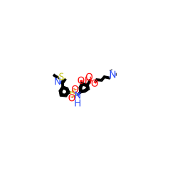 Cc1nc(-c2cccc(S(=O)(=O)Nc3ccc(C(=O)OCCCCN(C)C)c(O)c3)c2)cs1